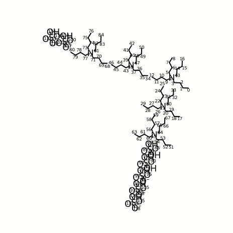 CCCC[N+](CCCC)(CCCC)CCCC.CCCC[N+](CCCC)(CCCC)CCCC.CCCC[N+](CCCC)(CCCC)CCCC.CCCC[N+](CCCC)(CCCC)CCCC.CCCC[N+](CCCC)(CCCC)CCCC.O=S(=O)(O)O.O=S(=O)(O)O.O=S(=O)([O-])O.O=S(=O)([O-])O.O=S(=O)([O-])O.O=S(=O)([O-])O.O=S(=O)([O-])O